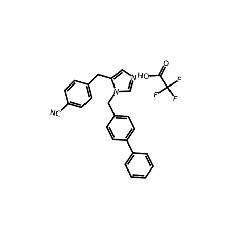 N#Cc1ccc(Cc2cncn2Cc2ccc(-c3ccccc3)cc2)cc1.O=C(O)C(F)(F)F